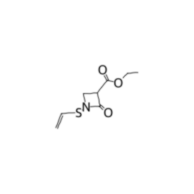 C=CSN1CC(C(=O)OCC)C1=O